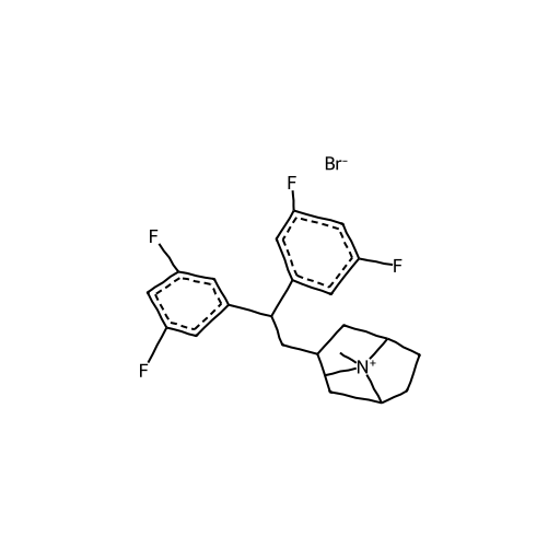 C[N+]1(C)C2CCC1CC(CC(c1cc(F)cc(F)c1)c1cc(F)cc(F)c1)C2.[Br-]